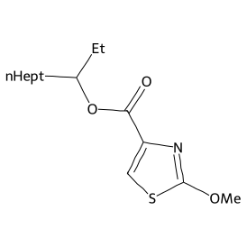 CCCCCCCC(CC)OC(=O)c1csc(OC)n1